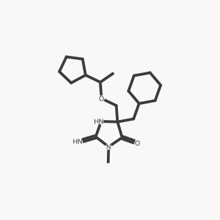 CC(OCC1(CC2CCCCC2)NC(=N)N(C)C1=O)C1CCCC1